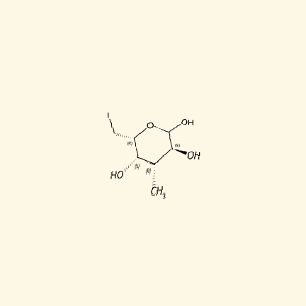 C[C@@H]1[C@H](O)[C@H](CI)OC(O)[C@H]1O